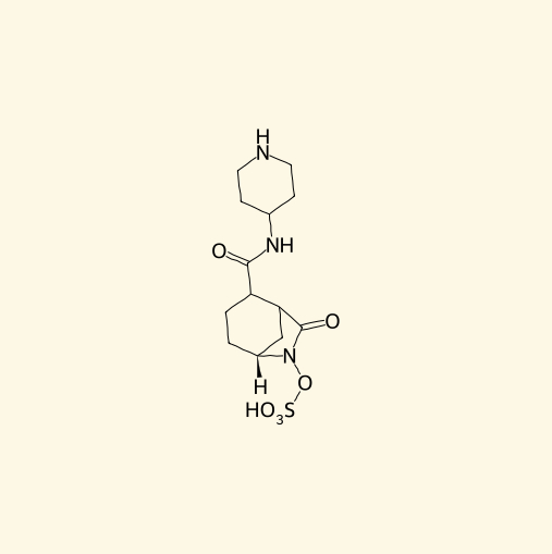 O=C(NC1CCNCC1)C1CC[C@@H]2CC1C(=O)N2OS(=O)(=O)O